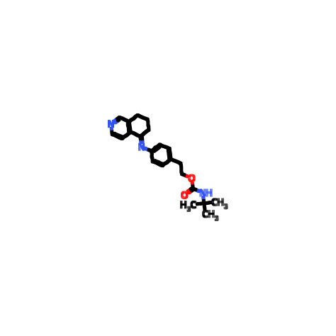 CC(C)(C)NC(=O)OCCc1ccc(/N=C2\CCCc3cnccc32)cc1